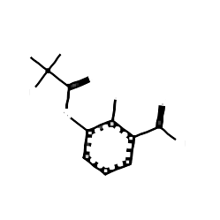 CC(=O)c1cccc(NC(=O)C(F)(F)F)c1Cl